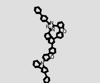 c1ccc(-c2ccc(-c3nc(-c4ccccc4)nc(-c4cccc5oc6ccc(-c7cccc(-c8ccc9oc%10cc(-n%11c%12ccccc%12c%12cc(-c%13ccccc%13)ccc%12%11)ccc%10c9c8)c7)cc6c45)n3)cc2)cc1